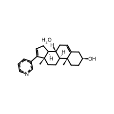 C[C@]12CC[C@H](O)CC1=CC[C@@H]1[C@@H]2CC[C@]2(C)C(c3cccnc3)=CC[C@@H]12.O